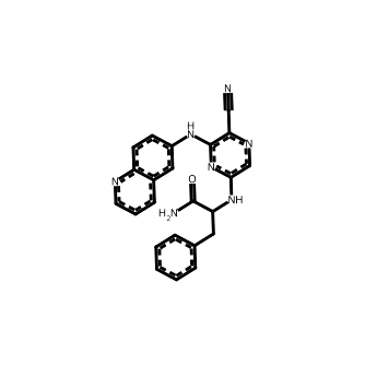 N#Cc1ncc(NC(Cc2ccccc2)C(N)=O)nc1Nc1ccc2ncccc2c1